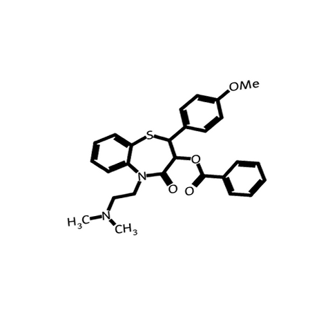 COc1ccc(C2Sc3ccccc3N(CCN(C)C)C(=O)C2OC(=O)c2ccccc2)cc1